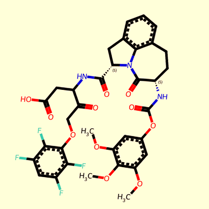 COc1cc(OC(=O)N[C@H]2CCc3cccc4c3N(C2=O)[C@H](C(=O)NC(CC(=O)O)C(=O)COc2c(F)c(F)cc(F)c2F)C4)cc(OC)c1OC